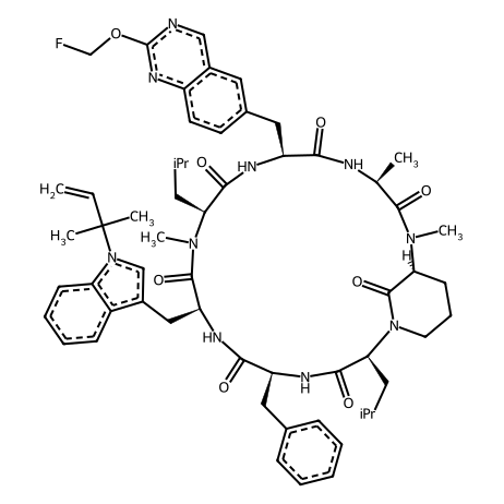 C=CC(C)(C)n1cc(C[C@@H]2NC(=O)[C@H](Cc3ccccc3)NC(=O)[C@H](CC(C)C)N3CCC[C@@H](C3=O)N(C)C(=O)[C@H](C)NC(=O)[C@H](Cc3ccc4nc(OCF)ncc4c3)NC(=O)[C@H](CC(C)C)N(C)C2=O)c2ccccc21